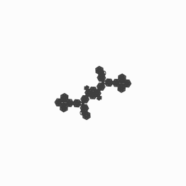 CC(C)c1cc(-c2ccc(N(c3ccc(-c4ccc([Si](c5ccccc5)(c5ccccc5)c5ccccc5)cc4)cc3)c3ccc4c(c3)oc3ccccc34)cc2)c2ccc3c(C(C)C)cc(-c4ccc(N(c5ccc(-c6ccc([Si](c7ccccc7)(c7ccccc7)c7ccccc7)cc6)cc5)c5ccc6c(c5)oc5ccccc56)cc4)c4ccc1c2c43